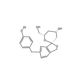 CCOc1ccc(Cc2ccc3c(c2)[C@]2(C[C@@H](O)C[C@@H](CO)O2)OC3)cc1